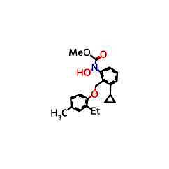 CCc1cc(C)ccc1OCc1c(C2CC2)cccc1N(O)C(=O)OC